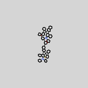 Fc1ccccc1N(c1ccccc1)c1cc2c(c3ccccc13)-c1cc3ccc(-c4cccc(-c5ccc(-c6ccccc6)cc5N(c5ccccc5)c5cc6c(c7ccccc57)-c5cc7ccccc7cc5C65c6ccccc6-c6ccccc65)c4)cc3cc1C21c2ccccc2-c2ccccc21